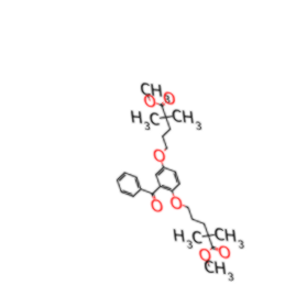 COC(=O)C(C)(C)CCCOc1ccc(OCCCC(C)(C)C(=O)OC)c(C(=O)c2ccccc2)c1